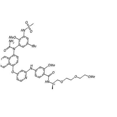 COCCOCCOC[C@@H](C)NC(=O)c1ccc(Nc2cc(Oc3ccc(N(C(N)=O)c4cc(C(C)(C)C)cc(NS(C)(=O)=O)c4OC)c4ccccc34)ccn2)cc1OC